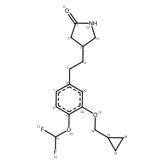 O=C1CC(CCc2ccc(OC(F)F)c(OCC3CC3)c2)CN1